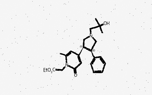 CCOC(=O)Cn1c(C)cc([C@H]2CN(CC(C)(C)O)C[C@H]2c2ccccc2)cc1=O